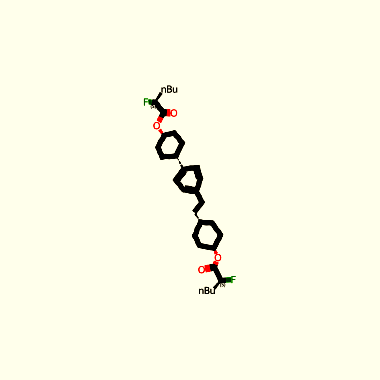 CCCC[C@H](F)C(=O)O[C@H]1CC[C@H](CCc2ccc([C@H]3CC[C@H](OC(=O)[C@@H](F)CCCC)CC3)cc2)CC1